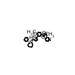 COc1ccc(S(=O)(=O)N(C)c2cccnc2)cc1-c1ccc(CN2CCCCC[C@@H]2c2ccccc2)[nH]1